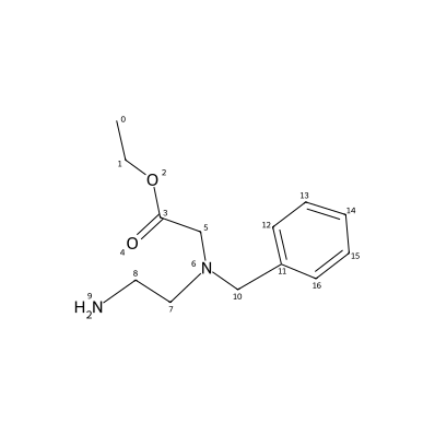 CCOC(=O)CN(CCN)Cc1ccccc1